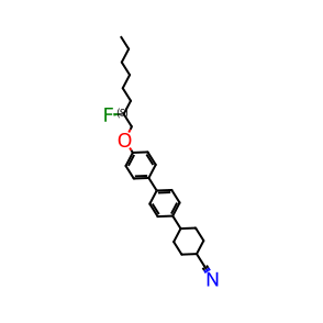 CCCCCC[C@H](F)COc1ccc(-c2ccc(C3CCC(C#N)CC3)cc2)cc1